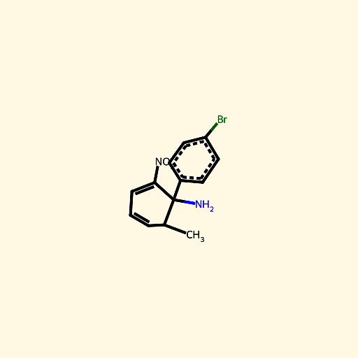 CC1C=CC=C([N+](=O)[O-])C1(N)c1ccc(Br)cc1